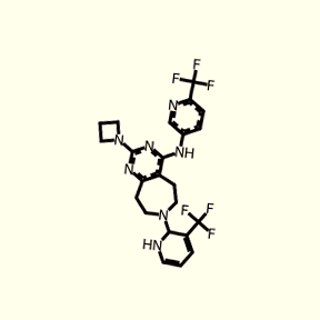 FC(F)(F)C1=CC=CNC1N1CCc2nc(N3CCC3)nc(Nc3ccc(C(F)(F)F)nc3)c2CC1